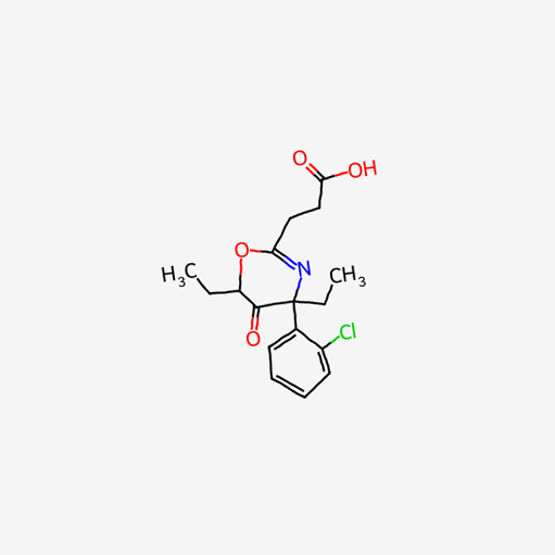 CCC1OC(CCC(=O)O)=NC(CC)(c2ccccc2Cl)C1=O